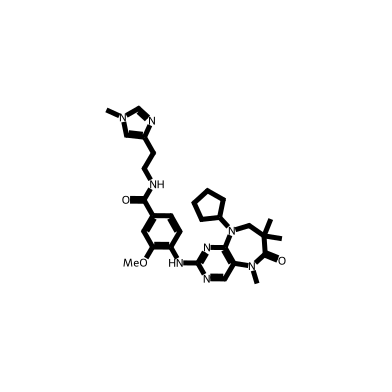 COc1cc(C(=O)NCCc2cn(C)cn2)ccc1Nc1ncc2c(n1)N(C1CCCC1)CC(C)(C)C(=O)N2C